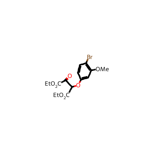 CCOC(=O)C(=O)C(Oc1ccc(Br)c(OC)c1)C(=O)OCC